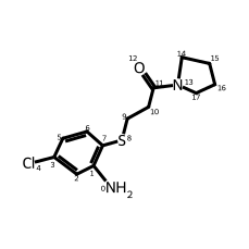 Nc1cc(Cl)ccc1SCCC(=O)N1CCCC1